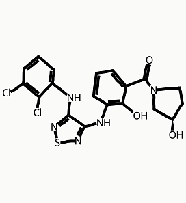 O=C(c1cccc(Nc2nsnc2Nc2cccc(Cl)c2Cl)c1O)N1CC[C@@H](O)C1